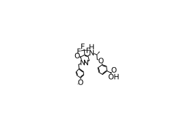 COc1ccc(Cn2ncc(N[C@@H](C)COc3cccc(C(=O)O)c3)c(C(F)(F)F)c2=O)cc1